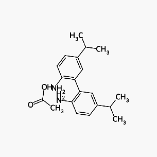 CC(=O)O.CC(C)c1ccc(N)c(-c2cc(C(C)C)ccc2N)c1